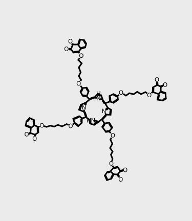 O=C1C=C(OCCCCCCOc2ccc(-c3c4nc(c(-c5ccc(OCCCCCCOC6=CC(=O)C(=O)c7ccccc76)cc5)c5ccc([nH]5)c(-c5ccc(OCCCCCCOC6=CC(=O)C(=O)c7ccccc76)cc5)c5nc(c(-c6ccc(OCCCCCCOC7=CC(=O)C(=O)c8ccccc87)cc6)c6ccc3[nH]6)C=C5)C=C4)cc2)c2ccccc2C1=O